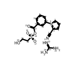 N#Cc1cccn1-c1cccc(C(=O)OS(=O)(=O)CCO)c1.N=C(N)N